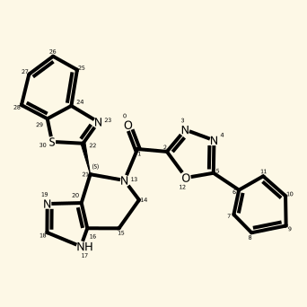 O=C(c1nnc(-c2ccccc2)o1)N1CCc2[nH]cnc2[C@H]1c1nc2ccccc2s1